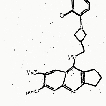 COc1cc2nc3c(c(NCC4CN(c5ccccc5Cl)C4)c2cc1OC)CCC3